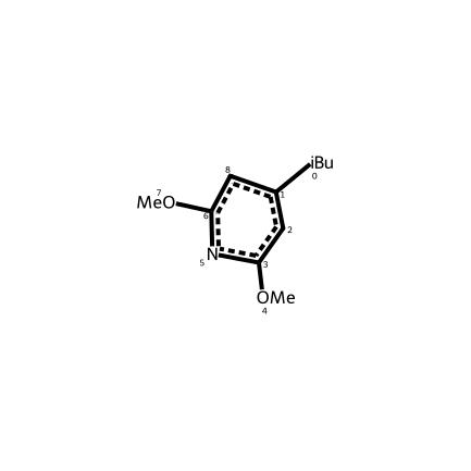 CCC(C)c1cc(OC)nc(OC)c1